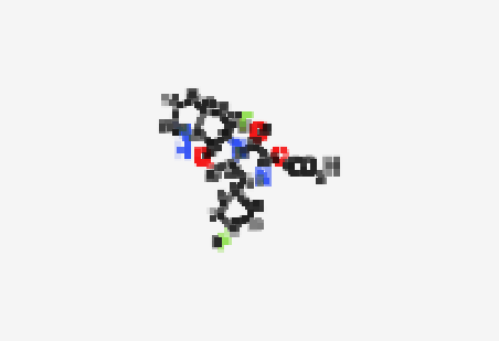 O=C(O)OC1=NC(c2ccc(F)cc2)C2=COC3C(=C(F)C=C4CCCNC43)N2C1=O